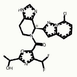 CC(O)c1nc(C(F)F)c(C(=O)N2CCc3[nH]cnc3[C@H]2c2cc3cccc(Cl)n3n2)o1